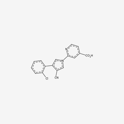 N#Cc1cn(-c2cc(C(=O)O)ccn2)cc1-c1ccccc1Cl